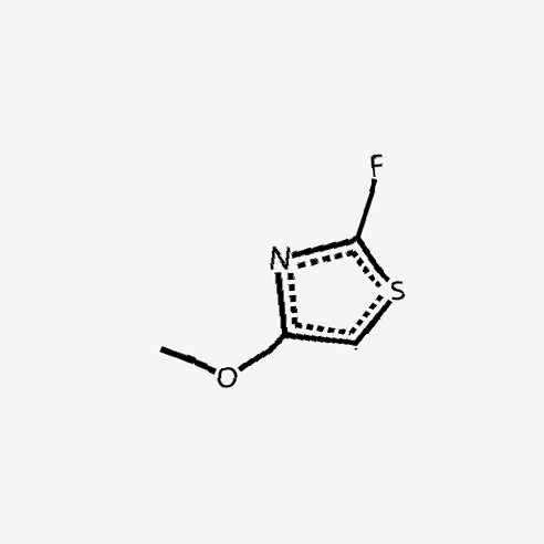 COc1[c]sc(F)n1